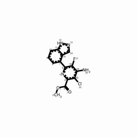 COC(=O)c1nc(-c2cccc3[nH]ncc23)c(F)c(N)c1Cl